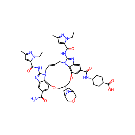 CCn1nc(C)cc1C(=O)Nc1nc2cc(C(N)=O)cc3c2n1C/C=C/Cn1c(NC(=O)c2cc(C)nn2CC)nc2cc(C(=O)N[C@H]4CC[C@H](C(=O)O)CC4)cc(c21)OC[C@H](N1C2CCC1COC2)CO3